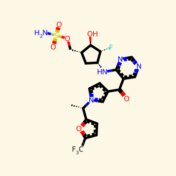 C[C@@H](c1ccc(C(F)(F)F)o1)n1ccc(C(=O)c2cncnc2N[C@@H]2C[C@H](COS(N)(=O)=O)[C@@H](O)[C@@H]2F)c1